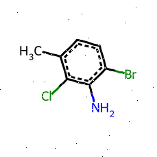 Cc1ccc(Br)c(N)c1Cl